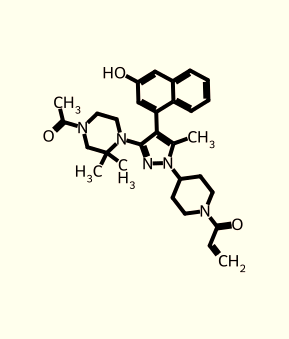 C=CC(=O)N1CCC(n2nc(N3CCN(C(C)=O)CC3(C)C)c(-c3cc(O)cc4ccccc34)c2C)CC1